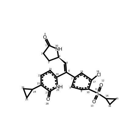 O=C1CC[C@H](/C=C(/c2ccc(S(=O)(=O)C3CC3)c(Cl)c2)c2ccc(C3CC3)c(=O)[nH]2)N1